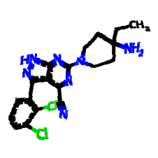 CCC1(N)CCN(c2nc(C#N)c3c(-c4cccc(Cl)c4Cl)n[nH]c3n2)CC1